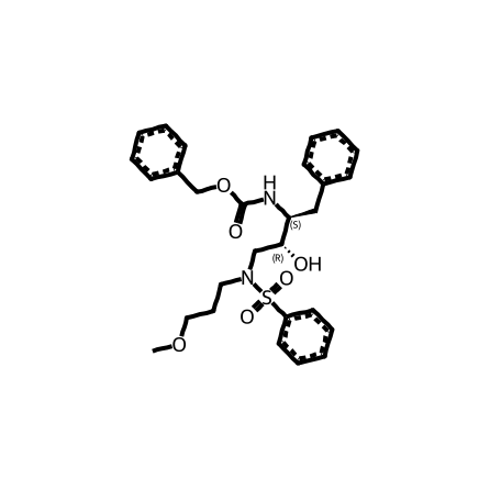 COCCCN(C[C@@H](O)[C@H](Cc1ccccc1)NC(=O)OCc1ccccc1)S(=O)(=O)c1ccccc1